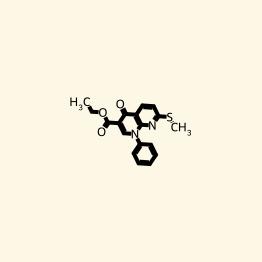 CCOC(=O)c1cn(-c2ccccc2)c2nc(SC)ccc2c1=O